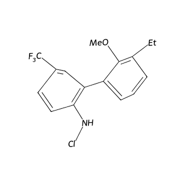 CCc1cccc(-c2cc(C(F)(F)F)ccc2NCl)c1OC